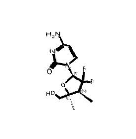 C[C@@H]1C(F)(F)[C@H](n2ccc(N)nc2=O)O[C@]1(C)CO